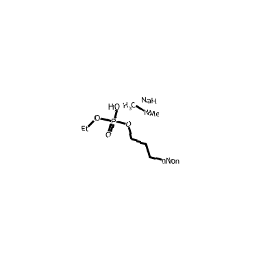 CCCCCCCCCCCCOP(=O)(O)OCC.CNC.[NaH]